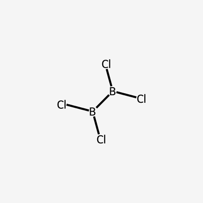 ClB(Cl)B(Cl)Cl